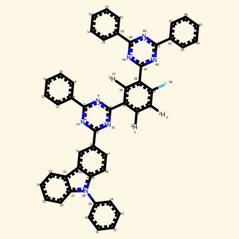 [2H]c1c([2H])c(-c2nc(-c3ccccc3)nc(-c3ccc4c(c3)c3ccccc3n4-c3ccccc3)n2)c([2H])c(-c2nc(-c3ccccc3)nc(-c3ccccc3)n2)c1F